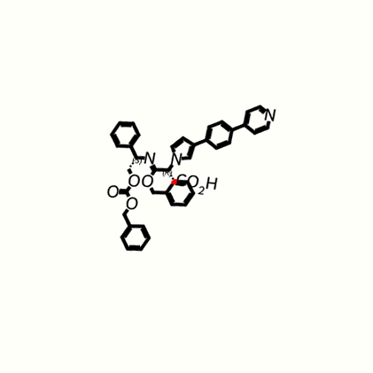 O=C(O)C[C@H](C(=N[C@H](COC(=O)OCc1ccccc1)c1ccccc1)OCc1ccccc1)n1ccc(-c2ccc(-c3ccncc3)cc2)c1